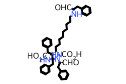 O=CC(Cc1ccccc1)NCCCCCCCCCC[C@@H](Cc1ccccc1)C(Cc1ccccc1)(NC(=O)O)N(NC(=O)O)[C@H](C=O)Cc1ccccc1